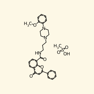 COc1ccccc1N1CCN(CCCNC(=O)c2cccc3c(=O)cc(-c4ccccc4)oc23)CC1.CS(=O)(=O)O